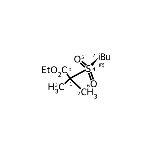 CCOC(=O)C(C)(C)S(=O)(=O)[C@H](C)CC